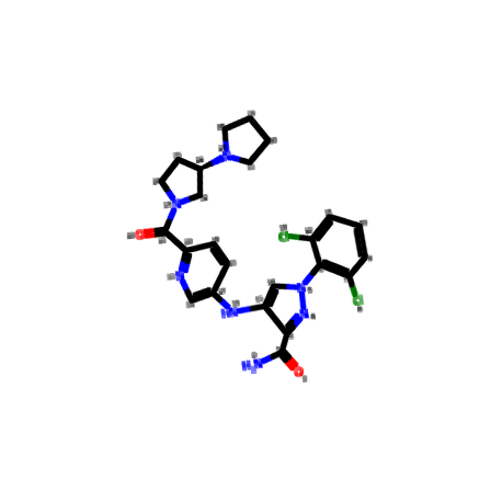 NC(=O)c1nn(-c2c(Cl)cccc2Cl)cc1Nc1ccc(C(=O)N2CC[C@@H](N3CCCC3)C2)nc1